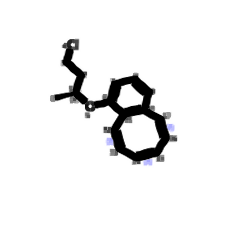 C[C@@H](CCCl)Oc1cccc2c1\C=C/C=C\C=C/2